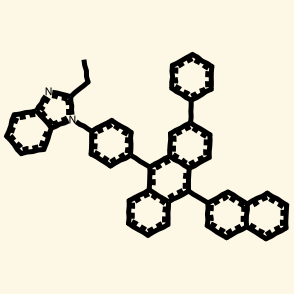 CCc1nc2ccccc2n1-c1ccc(-c2c3ccccc3c(-c3ccc4ccccc4c3)c3ccc(-c4ccccc4)cc23)cc1